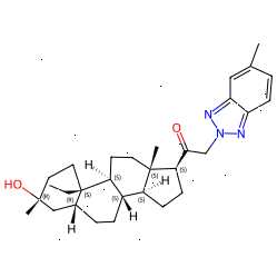 CC[C@]12CC[C@@](C)(O)C[C@H]1CC[C@H]1[C@@H]3CC[C@H](C(=O)Cn4nc5ccc(C)cc5n4)[C@@]3(C)CC[C@@H]12